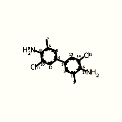 Cc1cc(-c2cc(C)c(N)c(Cl)c2)cc(Cl)c1N